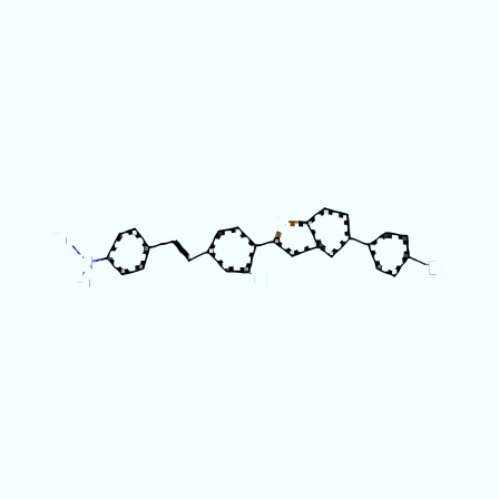 CCc1ccc(-c2ccc3sc(-c4ccc(C=Cc5ccc(N(CC)CC)cc5)cc4Cl)cc3c2)cc1